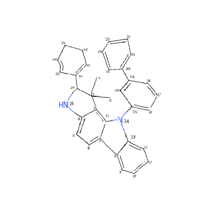 CC1(C)c2c(ccc3c4ccccc4n(-c4cccc(-c5ccccc5)c4)c23)NC1C1=CCCC=C1